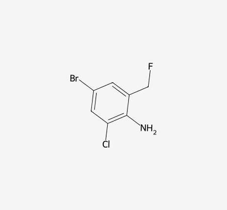 Nc1c(Cl)cc(Br)cc1CF